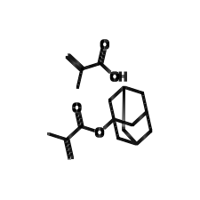 C=C(C)C(=O)O.C=C(C)C(=O)OC12CC3CC(CC(C3)C1)C2